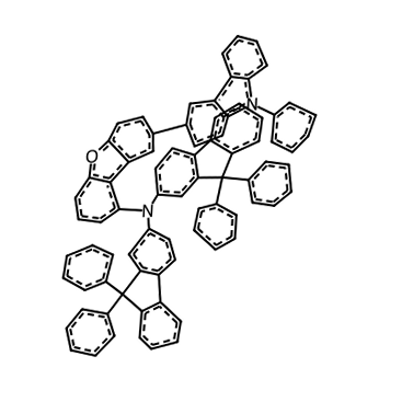 c1ccc(-n2c3ccccc3c3cc(-c4ccc5oc6cccc(N(c7ccc8c(c7)C(c7ccccc7)(c7ccccc7)c7ccccc7-8)c7ccc8c(c7)C(c7ccccc7)(c7ccccc7)c7ccccc7-8)c6c5c4)ccc32)cc1